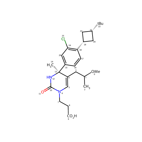 COC(C)CC1=CN(CCC(=O)O)C(=O)N[C@@]1(C)c1ccc([C@H]2C[C@@H](C(C)(C)C)C2)c(Cl)c1